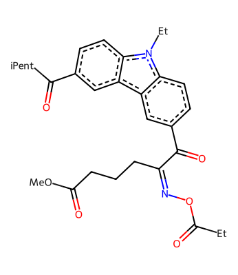 CCCC(C)C(=O)c1ccc2c(c1)c1cc(C(=O)/C(CCCC(=O)OC)=N\OC(=O)CC)ccc1n2CC